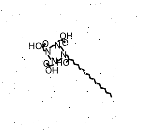 CCCCCCCCCCCCCCCCC(O)CN1CCN(CC(=O)O)CCN(CC(=O)O)CCN(CC(=O)O)CC1